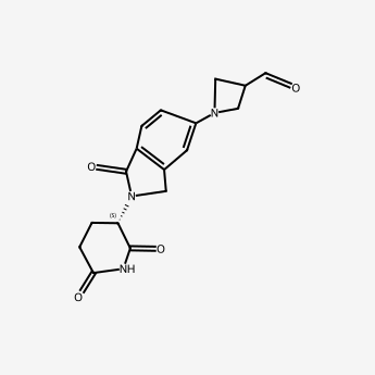 O=CC1CN(c2ccc3c(c2)CN([C@H]2CCC(=O)NC2=O)C3=O)C1